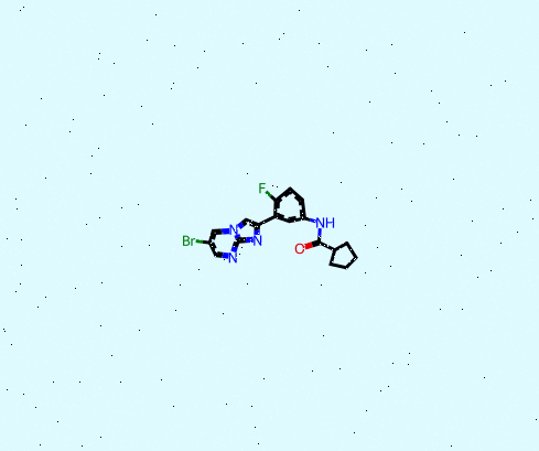 O=C(Nc1ccc(F)c(-c2cn3cc(Br)cnc3n2)c1)C1CCCC1